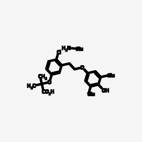 CC(C)(C)N.CC(C)(Oc1ccc(Cl)c(CCOc2cc(C(C)(C)C)c(O)c(C(C)(C)C)c2)c1)C(=O)O